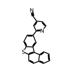 N#Cc1ccnc(-c2ccc3sc4ccc5ccccc5c4c3c2)c1